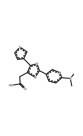 CN(C)c1ccc(-c2nc(CC(=O)O)c(-c3ccsc3)o2)cn1